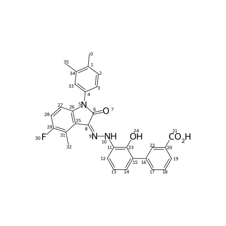 Cc1ccc(N2C(=O)/C(=N\Nc3cccc(-c4cccc(C(=O)O)c4)c3O)c3c2ccc(F)c3C)cc1C